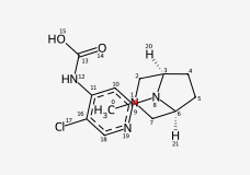 CN1C[C@H]2CC[C@@H](C1)N2c1cc(NC(=O)O)c(Cl)cn1